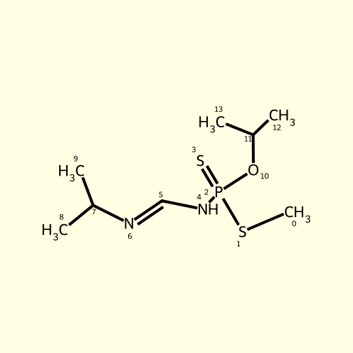 CSP(=S)(NC=NC(C)C)OC(C)C